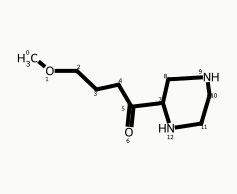 COCCCC(=O)C1CNCCN1